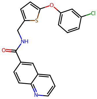 O=C(NCc1ccc(Oc2cccc(Cl)c2)s1)c1ccc2ncccc2c1